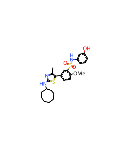 COc1ccc(-c2sc(NC3CCCCCCC3)nc2C)cc1S(=O)(=O)Nc1cccc(O)c1